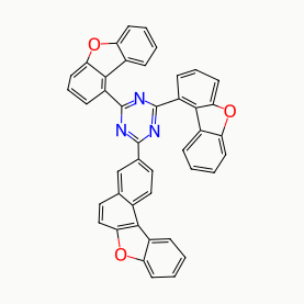 c1ccc2c(c1)oc1cccc(-c3nc(-c4ccc5c(ccc6oc7ccccc7c65)c4)nc(-c4cccc5oc6ccccc6c45)n3)c12